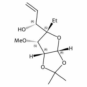 C=C[C@@H](O)[C@]1(CC)O[C@@H]2OC(C)(C)O[C@@H]2[C@@H]1OC